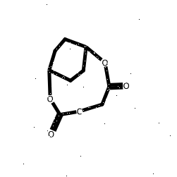 O=C1CCC(=O)OC2CCC(CC2)O1